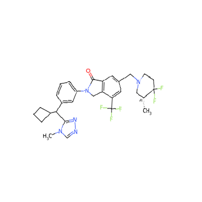 C[C@@H]1CN(Cc2cc3c(c(C(F)(F)F)c2)CN(c2cccc(C(c4nncn4C)C4CCC4)c2)C3=O)CCC1(F)F